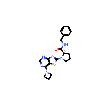 O=C(NCc1ccccc1)[C@H]1CCCN1c1nc2ncnc(N3CCC3)c2s1